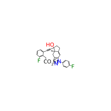 CCOC(=O)Cc1c(F)cccc1C#C[C@]1(O)CCC2=Cc3c(cnn3-c3ccc(F)cc3)C[C@@]21C